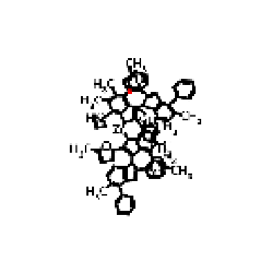 Cc1ccc(C2=Cc3c(ccc(C)c3-c3ccccc3)C2C2=C(c3ccc(C)o3)[CH]([Zr][CH]3C(c4ccc(C)o4)=C(C4C(c5ccc(C)o5)=Cc5c4ccc(C)c5-c4ccccc4)c4c(-c5ccccc5)c(C)c(C)c([SiH]5CCC5)c43)c3c2c(-c2ccccc2)c(C)c(C)c3[SiH]2CCC2)o1